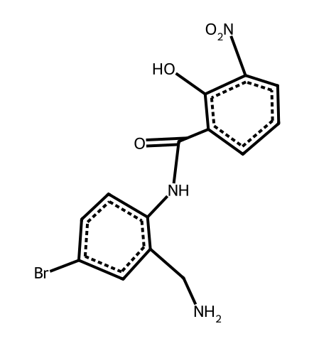 NCc1cc(Br)ccc1NC(=O)c1cccc([N+](=O)[O-])c1O